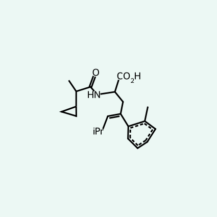 Cc1ccccc1/C(=C\C(C)C)CC(NC(=O)C(C)C1CC1)C(=O)O